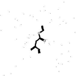 C=COC(=O)CC(=C)C=C